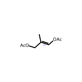 CC(=O)O/C=C(\C)COC(C)=O